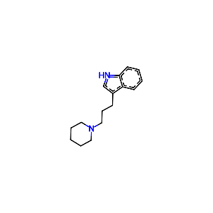 c1ccc2c(CCCN3CCCCC3)c[nH]c2c1